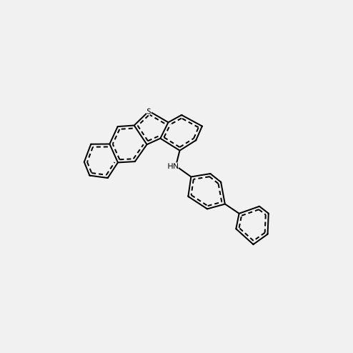 c1ccc(-c2ccc(Nc3cccc4sc5cc6ccccc6cc5c34)cc2)cc1